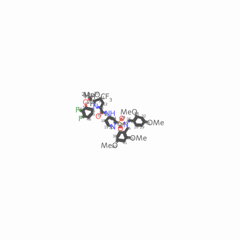 [2H]C([2H])([2H])Oc1c(N2CC(OC)(C(F)(F)F)CC2C(=O)Nc2ccnc(S(=O)(=O)N(Cc3ccc(OC)cc3OC)Cc3ccc(OC)cc3OC)c2)ccc(F)c1F